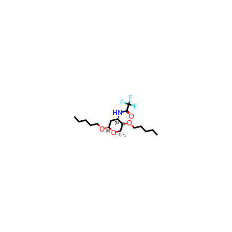 CCCCCO[C@H]1C[C@H](NC(=O)C(F)(F)F)[C@@H](OCCCCC)[C@H](C)O1